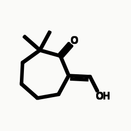 CC1(C)CCCC/C(=C\O)C1=O